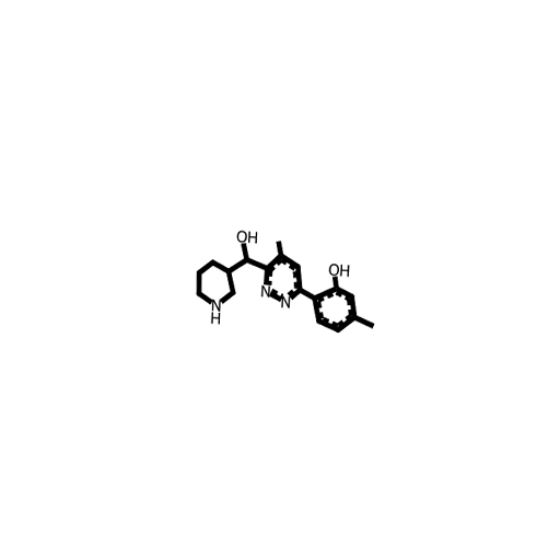 Cc1ccc(-c2cc(C)c(C(O)C3CCCNC3)nn2)c(O)c1